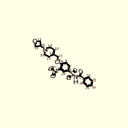 O=C(NS(=O)(=O)c1ccc(OCC2CCN(C3COC3)CC2)c([N+](=O)[O-])c1)c1ccccc1